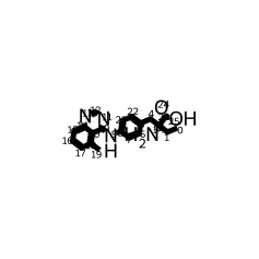 CC[C@](N)(Cc1ccc(Nc2ncnc3cccc(C)c23)cc1)C(=O)O